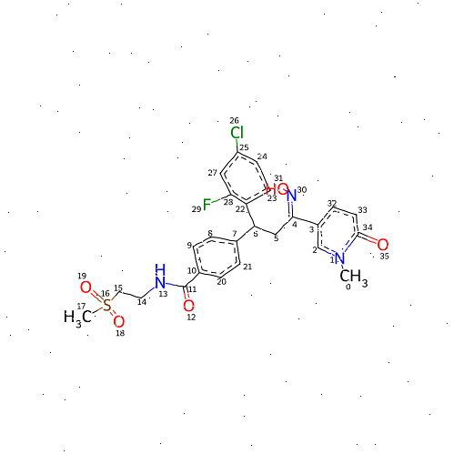 Cn1cc(/C(CC(c2ccc(C(=O)NCCS(C)(=O)=O)cc2)c2ccc(Cl)cc2F)=N/O)ccc1=O